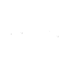 CCCNCCCc1c[nH]cn1